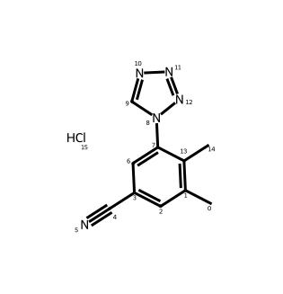 Cc1cc(C#N)cc(-n2cnnn2)c1C.Cl